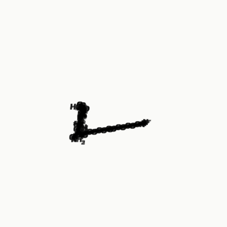 CCc1c2c(nc3ccc(OCc4c(F)cc(NC(=O)[C@H](CCCNC(N)=O)NC(=O)[C@@H](NC(=O)CCOCCOCCOCCOCCOOCOCCOCCOCCOCCOCCOCCN=[N+]=[N-])C(C)C)cc4F)cc13)-c1cc3c(c(=O)n1C2)COC(=O)[C@]3(O)CC